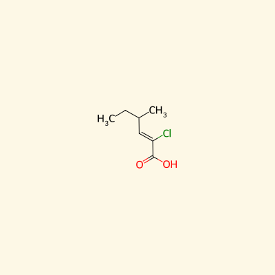 CCC(C)C=C(Cl)C(=O)O